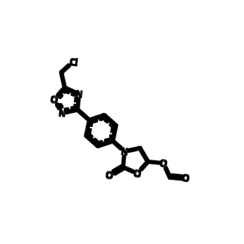 O=COC1CN(c2ccc(-c3noc(CCl)n3)cc2)C(=O)O1